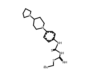 CCC(C)CSC(=N)NC(=S)Nc1ccc(N2CCC(N3CCCC3)CC2)cc1